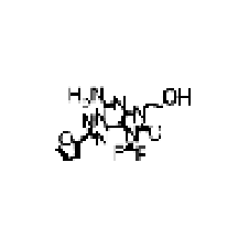 Nc1nc2c(c3nc(-c4ccco4)nn13)n(C(F)F)c(=O)n2CCO